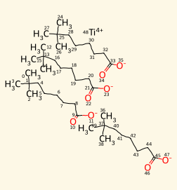 CC(C)(C)CCCCCC(=O)[O-].CC(C)(C)CCCCCC(=O)[O-].CC(C)(C)CCCCCC(=O)[O-].CC(C)(C)CCCCCC(=O)[O-].[Ti+4]